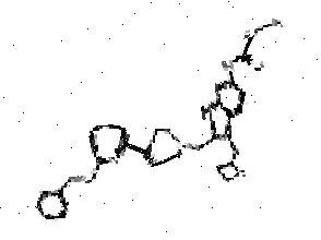 CC(C)(C)OC(=O)Nc1ccc2c(c1)nc(CN1CCC(c3cccc(OCc4ccccc4)n3)CC1)n2C[C@@H]1CCO1